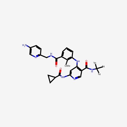 [2H]C([2H])([2H])NC(=O)c1cnc(NC(=O)C2CC2)cc1Nc1cccc(C(=O)NCc2ccc(N)cn2)c1OC